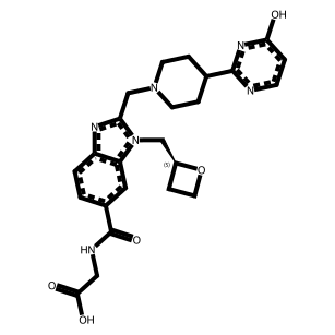 O=C(O)CNC(=O)c1ccc2nc(CN3CCC(c4nccc(O)n4)CC3)n(C[C@@H]3CCO3)c2c1